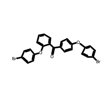 O=C(c1ccc(Oc2ccc(Br)cc2)cc1)c1ccccc1Oc1ccc(Br)cc1